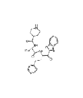 CCC(C)[C@H](NC(=O)C1CCNCC1)C(=O)N[C@@H](CCc1ccccc1)C(=O)c1nc2ccccc2o1